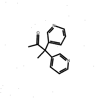 CC(=O)C(C)(c1cccnc1)c1cccnc1